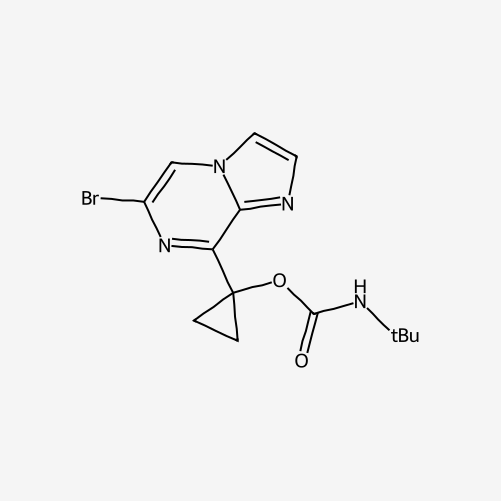 CC(C)(C)NC(=O)OC1(c2nc(Br)cn3ccnc23)CC1